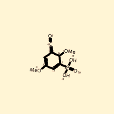 COC1=CC(=C=O)C(OC)C(P(=O)(O)O)=C1